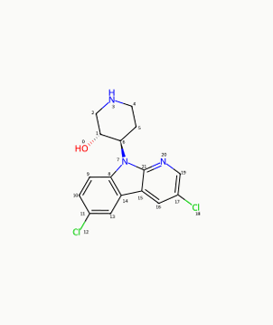 O[C@@H]1CNCC[C@H]1n1c2ccc(Cl)cc2c2cc(Cl)cnc21